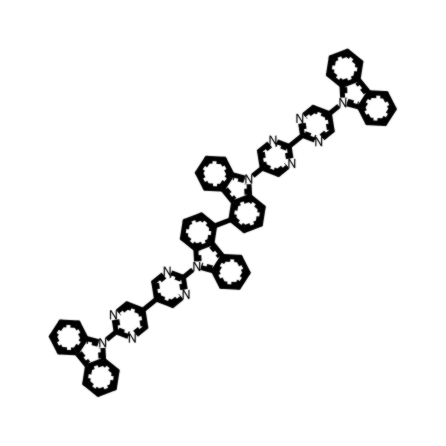 c1ccc2c(c1)c1ccccc1n2-c1cnc(-c2ncc(-n3c4ccccc4c4c(-c5cccc6c5c5ccccc5n6-c5ncc(-c6cnc(-n7c8ccccc8c8ccccc87)nc6)cn5)cccc43)cn2)nc1